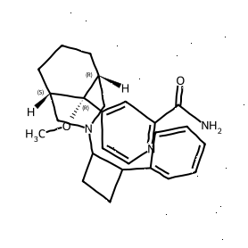 CO[C@@]1(c2ccnc(C(N)=O)c2)[C@@H]2CCC[C@H]1CN(C1CCC1c1ccccc1)C2